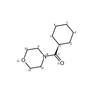 O=C([C@@H]1[CH]CCCC1)N1CCOCC1